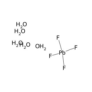 O.O.O.O.O.[F][Pb]([F])([F])[F]